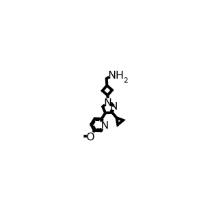 COc1ccc(C2CN(C3CC(CN)C3)N=C2C2CC2)nc1